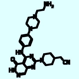 N#CCC1CCN(c2nc(Nc3ccc(N4CCN(CCN)CC4)cc3)c3c(=O)[nH]ncc3n2)CC1